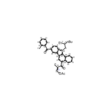 CCCCC(CC)Cn1c2ccc(C(=O)c3ccccc3C)cc2c2cc(C(=O)/C(C)=N\OC(C)=O)c3ccccc3c21